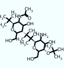 CC(=O)NC1C(O)[C@H](C(C)(C)C(C)(C)[C@@H]2OC(CO)[C@@H](OC(C)(C)C)C(O)C2N)C(CO)O[C@H]1C(C)(C)C